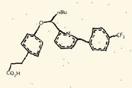 CCCCC(Oc1ccc(CCC(=O)O)cc1)c1cccc(-c2ccc(C(F)(F)F)cc2)n1